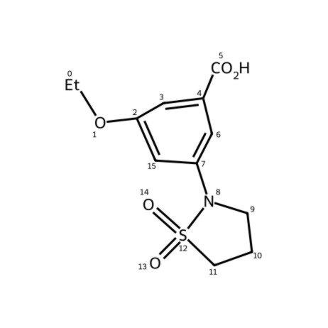 CCOc1cc(C(=O)O)cc(N2CCCS2(=O)=O)c1